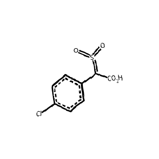 O=C(O)C(c1ccc(Cl)cc1)=S(=O)=O